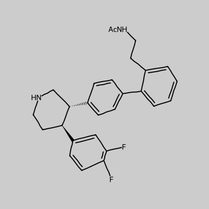 CC(=O)NCCc1ccccc1-c1ccc([C@H]2CNCC[C@@H]2c2ccc(F)c(F)c2)cc1